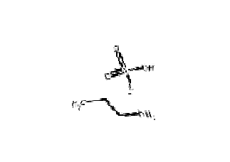 CCCN.O=S(=O)(O)Cl